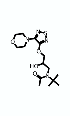 CC(=O)N(CC(O)COc1nsnc1N1CCOCC1)C(C)(C)C